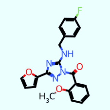 COc1ccccc1C(=O)n1nc(-c2ccco2)nc1NCc1ccc(F)cc1